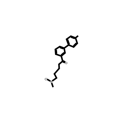 Cc1ccc(-c2cccc(C(=O)CCCCN(C)Cl)c2)cc1